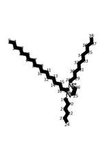 CCCCCCCCCCCCCCCCCc1n(CCCCCC)cc[n+]1CCCCCCCCCCC